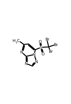 Cc1cc(S(=O)(=O)C(Br)(Br)Br)n2ncnc2n1